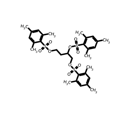 Cc1cc(C)c(S(=O)(=O)OCCC(COS(=O)(=O)c2c(C)cc(C)cc2C)OS(=O)(=O)c2c(C)cc(C)cc2C)c(C)c1